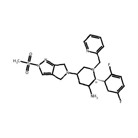 CS(=O)(=O)n1cc2c(n1)CN(C1CC(N)[C@@H](C3CC(F)=CC=C3F)N(Cc3ccccn3)C1)C2